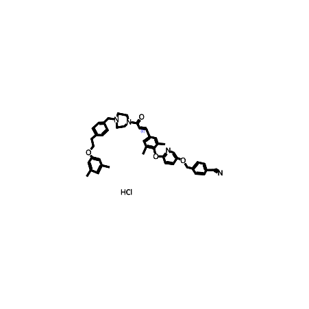 Cc1cc(C)cc(OCCc2ccc(CN3CCN(C(=O)/C=C/c4cc(C)c(Oc5ccc(OCc6ccc(C#N)cc6)cn5)c(C)c4)CC3)cc2)c1.Cl